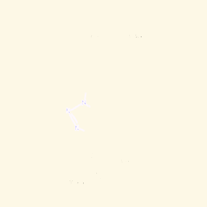 CCCCCCC(C)(CCCCCC)CCc1cn(CCCCC(C)(CCCC)CCCC)nn1